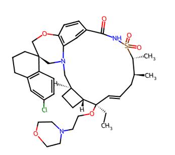 CC[C@@]1(OCCN2CCOCC2)/C=C/C[C@H](C)[C@@H](C)S(=O)(=O)NC(=O)c2ccc3c(c2)N(C[C@@H]2CC[C@H]21)C[C@@]1(CCCc2cc(Cl)ccc21)CO3